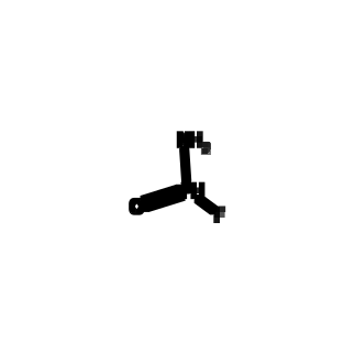 N[PH](=O)F